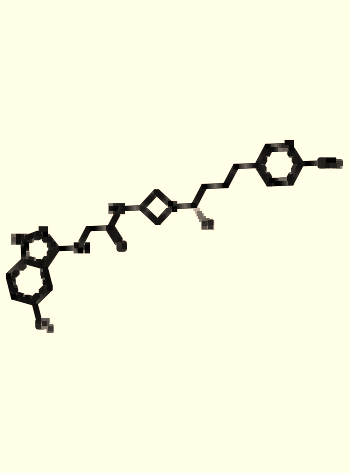 CC[C@@H](CCCc1ccc(OC)nc1)N1CC(NC(=O)CNc2n[nH]c3ccc(C(F)(F)F)cc23)C1